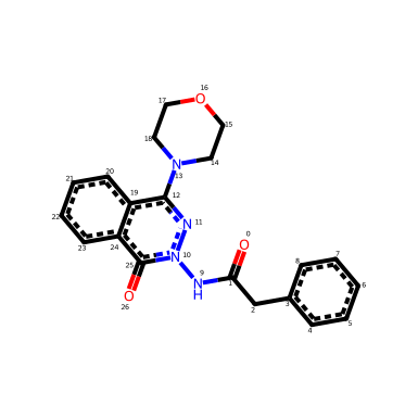 O=C(Cc1ccccc1)Nn1nc(N2CCOCC2)c2ccccc2c1=O